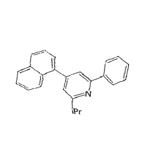 CC(C)c1cc(-c2cccc3ccccc23)cc(-c2ccccc2)n1